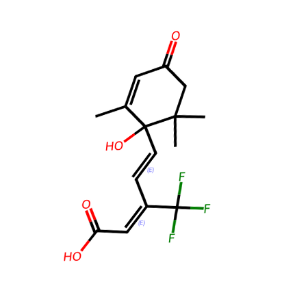 CC1=CC(=O)CC(C)(C)C1(O)/C=C/C(=C\C(=O)O)C(F)(F)F